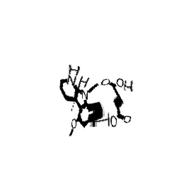 COc1cccc2c1[C@@]1(C)CCN[C@H]1N2C.O=C(O)/C=C/C(=O)O